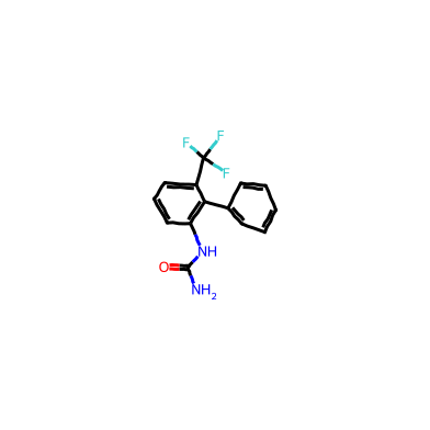 NC(=O)Nc1cccc(C(F)(F)F)c1-c1ccccc1